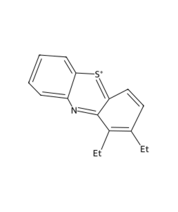 CCc1ccc2[s+]c3ccccc3nc2c1CC